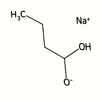 CCCC([O-])O.[Na+]